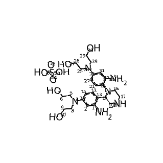 Nc1cc(N(CCO)CCO)ccc1C1CNCCN1c1ccc(N(CCO)CCO)cc1N.O=S(=O)(O)O